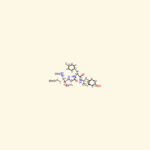 CSCC[C@H](NC=O)C(=O)N[C@@H](CC(C)C)C(=O)N[C@@H](Cc1ccc(C)cc1)C(=O)NC(Cc1ccc(O)cc1)C(=O)O